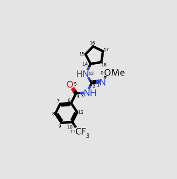 CON=C(NC(=O)c1cccc(C(F)(F)F)c1)NC1CCCC1